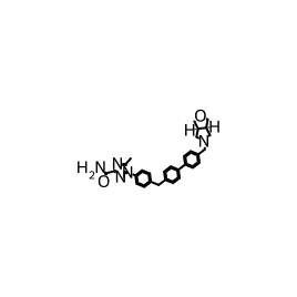 Cc1nc(C(N)=O)nn1-c1ccc(Cc2ccc(-c3ccc(CN4C[C@H]5COC[C@H]5C4)cc3)cc2)cc1